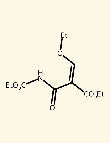 CCO/C=C(\C(=O)NC(=O)OCC)C(=O)OCC